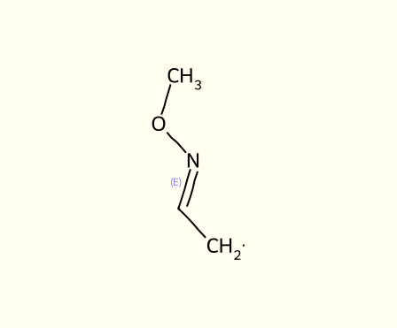 [CH2]/C=N/OC